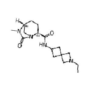 CCN1CC2(CC(NC(=O)[C@@H]3CC[C@@H]4CN3C(=O)N4C)C2)C1